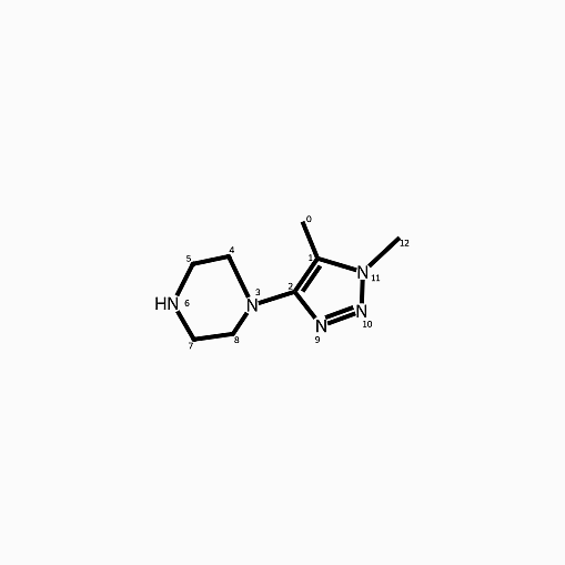 Cc1c(N2CCNCC2)nnn1C